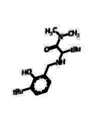 CN(C)C(=O)C(NCc1cccc(C(C)(C)C)c1O)C(C)(C)C